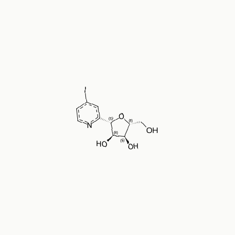 OC[C@H]1O[C@@H](c2cc(I)ccn2)[C@H](O)[C@@H]1O